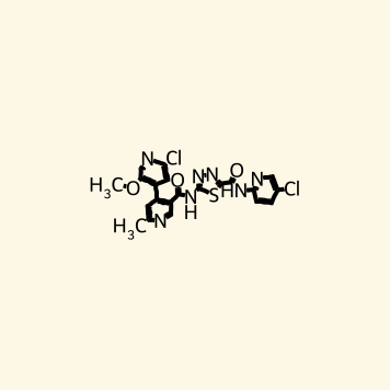 COc1cnc(Cl)cc1-c1cc(C)ncc1C(=O)Nc1nnc(C(=O)Nc2ccc(Cl)cn2)s1